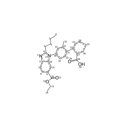 CCCCc1nc2ccc(C(=O)OCC)cc2n1-c1ccc(-c2ccccc2C(=O)O)c(C)c1